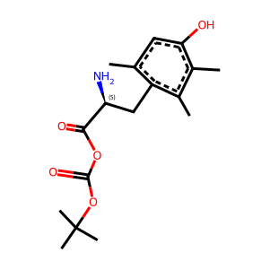 Cc1cc(O)c(C)c(C)c1C[C@H](N)C(=O)OC(=O)OC(C)(C)C